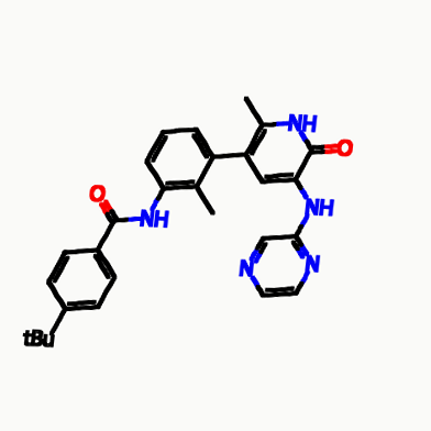 Cc1[nH]c(=O)c(Nc2cnccn2)cc1-c1cccc(NC(=O)c2ccc(C(C)(C)C)cc2)c1C